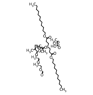 C=C(C)C=O.C=O.CC(C)=O.CC=O.CCCCCCCCCCCCOC(=O)CCSCCC(=O)OCCCCCCCCCCCC.CCOC=O.CO.COC=O